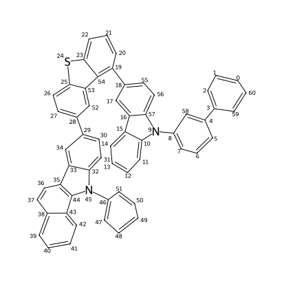 c1ccc(-c2cccc(-n3c4ccccc4c4cc(-c5cccc6sc7ccc(-c8ccc9c(c8)c8ccc%10ccccc%10c8n9-c8ccccc8)cc7c56)ccc43)c2)cc1